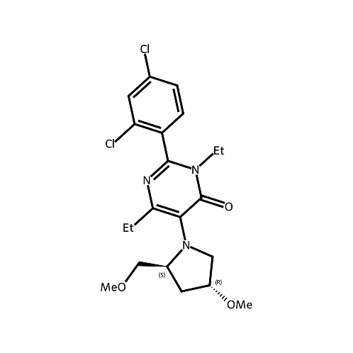 CCc1nc(-c2ccc(Cl)cc2Cl)n(CC)c(=O)c1N1C[C@H](OC)C[C@H]1COC